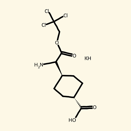 NC(C(=O)OCC(Cl)(Cl)Cl)[C@H]1CC[C@H](C(=O)O)CC1.[KH]